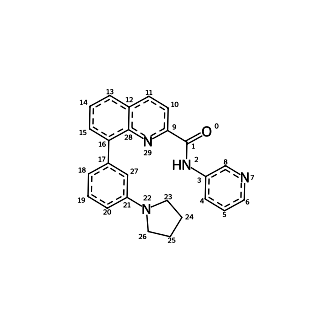 O=C(Nc1cccnc1)c1ccc2cccc(-c3cccc(N4CCCC4)c3)c2n1